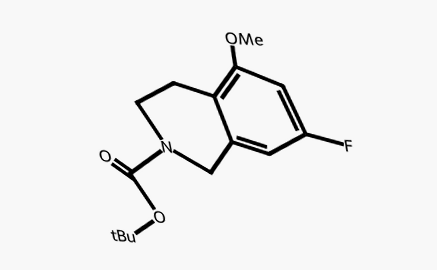 COc1cc(F)cc2c1CCN(C(=O)OC(C)(C)C)C2